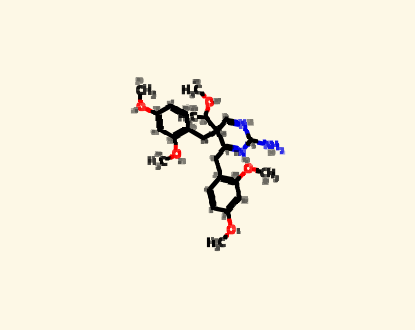 COc1ccc(CC2=NC(N)N=CC2(Cc2ccc(OC)cc2OC)C(C)OC)c(OC)c1